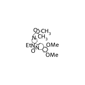 CCN1C(=O)N2Cc3cc(OC)cc(OC)c3CC=C2C12CCN(Cc1occ(C)c1C)CC2